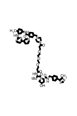 Cc1ccc(NC(=O)c2ccc(CN3CCN(C(=O)CCOCCOCCOCCC(=O)NC(C(=O)N4C[C@H](O)C[C@H]4C(=O)NCc4ccc(-c5scnc5C)cc4)C(C)(C)C)CC3)cc2)cc1Nc1nccc(-c2cccnc2)n1